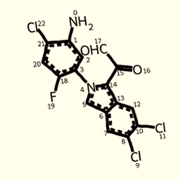 Nc1cc(-n2cc3cc(Cl)c(Cl)cc3c2C(=O)C=O)c(F)cc1Cl